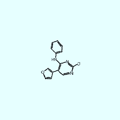 Clc1ncc(-c2ccoc2)c(Nc2ccccc2)n1